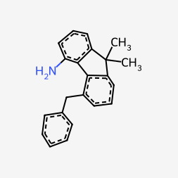 CC1(C)c2cccc(N)c2-c2c(Cc3ccccc3)cccc21